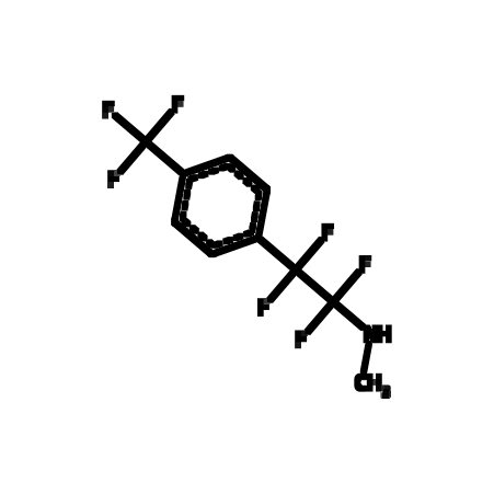 CNC(F)(F)C(F)(F)c1ccc(C(F)(F)F)cc1